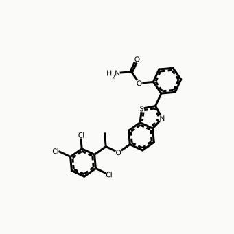 CC(Oc1ccc2nc(-c3ccccc3OC(N)=O)sc2c1)c1c(Cl)ccc(Cl)c1Cl